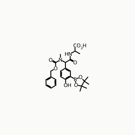 CC(NC(=O)C(c1ccc(O)c(B2OC(C)(C)C(C)(C)O2)c1)N(C)C(=O)OCc1ccccc1)C(=O)O